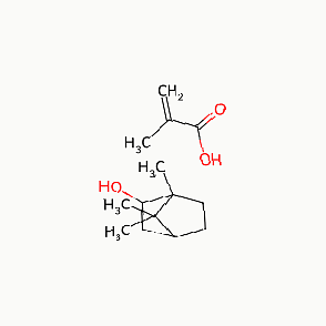 C=C(C)C(=O)O.CC1(C)C2CCC1(C)C(O)C2